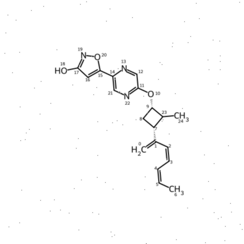 C=C(/C=C\C=C/C)[C@@H]1C[C@H](Oc2cnc(-c3cc(O)no3)cn2)C1C